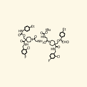 CCc1ccc(N(C=O)OCC2(C(=O)NCc3ccc(F)cc3Cl)CCN(C(=O)CNC(=O)OC(C)(C)C)CC2)cc1.CCc1ccc(NC(=O)OCC2(C(=O)NCc3ccc(F)cc3Cl)CCN(C(=O)CN)CC2)cc1